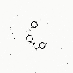 C[C@@H](NC(=O)C1(O)CCC(NS(=O)(=O)c2ccc(C(F)(F)F)cc2)CC1)c1ccc(F)cc1